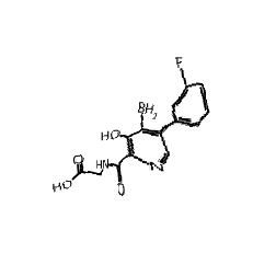 Bc1c(-c2cccc(F)c2)cnc(C(=O)NCC(=O)O)c1O